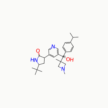 CC(C)c1ccc([C@](O)(c2cncc(C3CC(C(C)(C)C)NC3=O)c2)C2(C)CN(C)C2)cc1